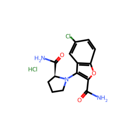 Cl.NC(=O)c1oc2ccc(Cl)cc2c1N1CCC[C@H]1C(N)=O